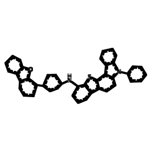 c1ccc(-n2c3ccccc3c3c4sc5c(Nc6ccc(-c7cccc8c7oc7ccccc78)cc6)cccc5c4ccc32)cc1